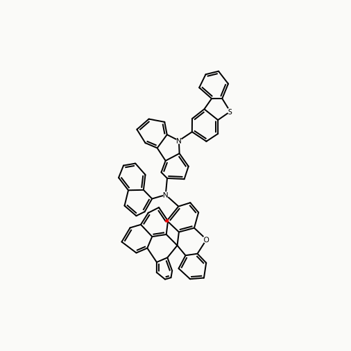 c1ccc2c(c1)Oc1ccc(N(c3ccc4c(c3)c3ccccc3n4-c3ccc4sc5ccccc5c4c3)c3cccc4ccccc34)cc1C21c2ccccc2-c2cccc3cccc1c23